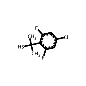 CC(C)(S)c1c(F)cc(Cl)cc1F